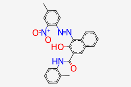 Cc1ccc(N=Nc2c(O)c(C(=O)Nc3ccccc3C)cc3ccccc23)c([N+](=O)[O-])c1